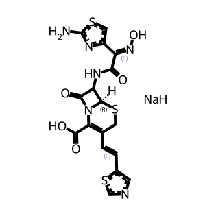 Nc1nc(/C(=N\O)C(=O)NC2C(=O)N3C(C(=O)O)=C(/C=C/c4cncs4)CS[C@H]23)cs1.[NaH]